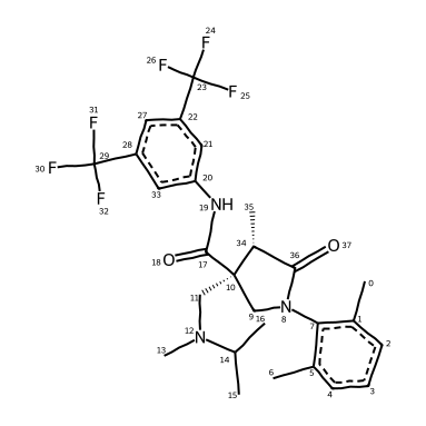 Cc1cccc(C)c1N1C[C@@](CN(C)C(C)C)(C(=O)Nc2cc(C(F)(F)F)cc(C(F)(F)F)c2)[C@H](C)C1=O